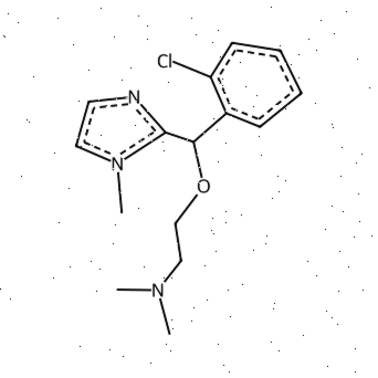 CN(C)CCOC(c1ccccc1Cl)c1nccn1C